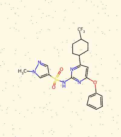 Cn1cc(S(=O)(=O)Nc2nc(Oc3ccccc3)cc(C3CCC(C(F)(F)F)CC3)n2)cn1